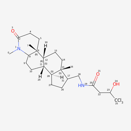 CN1C(=O)CC[C@@]2(C)C1CC[C@@H]1[C@H]2CC[C@]2(C)C(CNC(=O)CC(O)C(Cl)(Cl)Cl)CC[C@@H]12